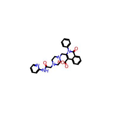 O=C(CN1CCN(Cc2c(C(=O)O)c3ccccc3c(=O)n2-c2ccccc2)CC1)Nc1ccccn1